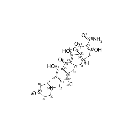 NC(=O)C1=C(O)C[C@@H]2CC3Cc4c(Cl)c(CN5CC[S+]([O-])CC5)cc(O)c4C(=O)C3=C(O)[C@]2(O)C1=O